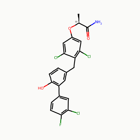 C[C@H](Oc1cc(Cl)c(Cc2ccc(O)c(-c3ccc(F)c(Cl)c3)c2)c(Cl)c1)C(N)=O